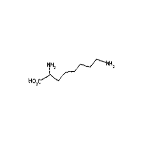 NCCCCCCC(N)C(=O)O